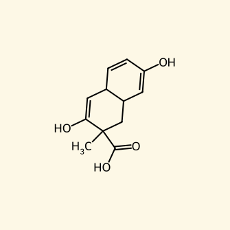 CC1(C(=O)O)CC2C=C(O)C=CC2C=C1O